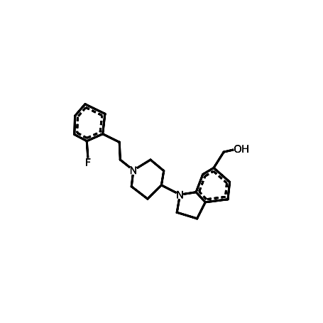 OCc1ccc2c(c1)N(C1CCN(CCc3ccccc3F)CC1)CC2